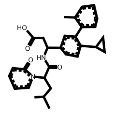 Cc1ccccc1-c1cc(C(CC(=O)O)NC(=O)C(CC(C)C)n2ccccc2=O)ccc1C1CC1